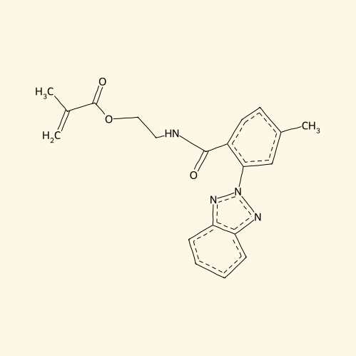 C=C(C)C(=O)OCCNC(=O)c1ccc(C)cc1-n1nc2ccccc2n1